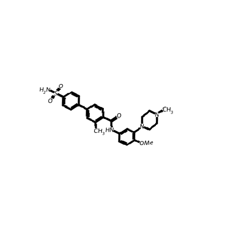 COc1ccc(NC(=O)c2ccc(-c3ccc(S(N)(=O)=O)cc3)cc2C)cc1N1CCN(C)CC1